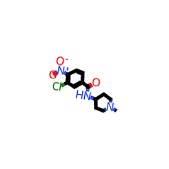 CN1CCC(NC(=O)c2ccc([N+](=O)[O-])c(Cl)c2)CC1